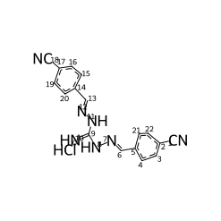 Cl.N#Cc1ccc(C=NNC(=N)NN=Cc2ccc(C#N)cc2)cc1